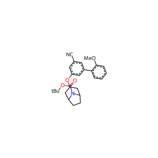 COc1ccccc1-c1cc(C#N)cc(OC2CC3CCC(C2)N3C(=O)OC(C)(C)C)c1